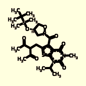 CC(=O)C(Cc1sc2c(c1C(=O)N1C[C@H](O[Si](C)(C)C(C)(C)C)CO1)c(=O)n(C)c(=O)n2C(C)C)C(C)=O